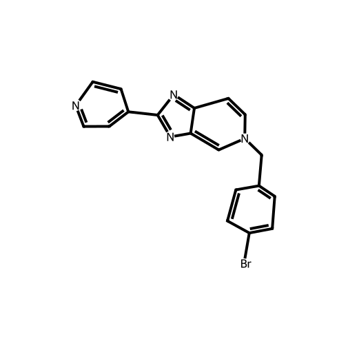 Brc1ccc(Cn2ccc3nc(-c4ccncc4)nc-3c2)cc1